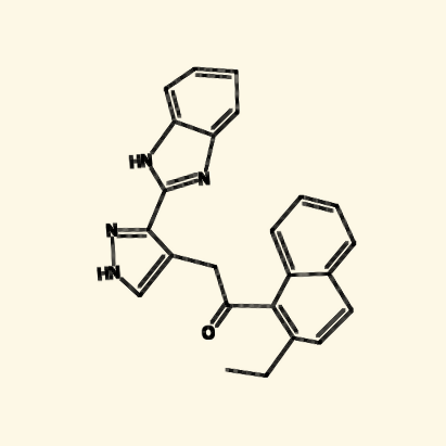 CCc1ccc2ccccc2c1C(=O)Cc1c[nH]nc1-c1nc2ccccc2[nH]1